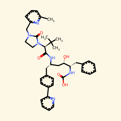 Cc1cccc(CN2CCN([C@H](C(=O)N[C@@H](Cc3ccc(-c4ccccn4)cc3)C[C@H](O)[C@H](Cc3ccccc3)NC(=O)O)C(C)(C)C)C2=O)n1